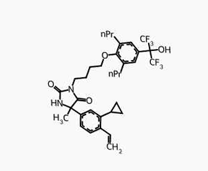 C=Cc1ccc(C2(C)NC(=O)N(CCCCOc3c(CCC)cc(C(O)(C(F)(F)F)C(F)(F)F)cc3CCC)C2=O)cc1C1CC1